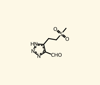 CS(=O)(=O)CCc1[nH]nnc1C=O